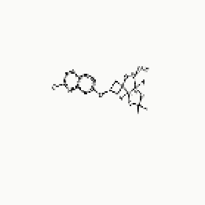 CO[C@@H]1O[C@]2(C[C@H](Oc3ccc4ccc(Cl)nc4c3)C2)[C@H]2OC(C)(C)O[C@@H]12